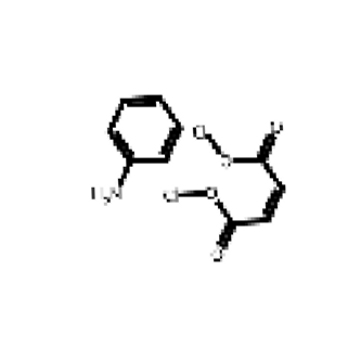 Nc1ccccc1.O=C(/C=C\C(=O)OCl)OCl